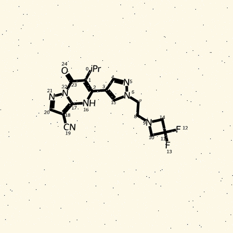 CC(C)c1c(-c2cnn(CCN3CC(F)(F)C3)c2)[nH]c2c(C#N)cnn2c1=O